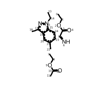 CCOC(=O)C=N.CCOC(C)=O.CCn1nc(C)c2cc(C)ccc21